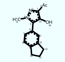 CC(=O)c1nn(C)c(-c2ccc3c(c2)CCC3)c1O